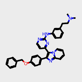 CN(C)CCc1cccc(Nc2nccc(-c3c(-c4ccc(OCc5ccccc5)cc4)nc4ccccn34)n2)c1